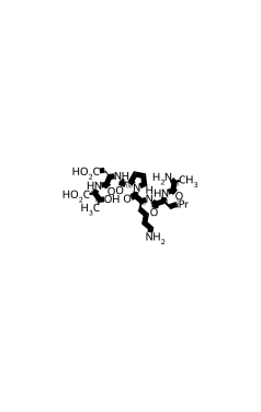 CC(C)C[C@H](NC(=O)[C@H](C)N)C(=O)N[C@@H](CCCCN)C(=O)N1CCC[C@H]1C(=O)N[C@@H](CC(=O)O)C(=O)N[C@H](C(=O)O)[C@@H](C)O